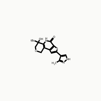 Cc1n[nH]cc1-c1cc2c3c([nH]c(=O)c2s1)C(O)(C(C)(C)C)COC3